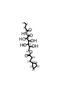 CCCC(=O)NC(=O)C(O)C(O)C(O)C(O)COC(=O)CCC1CCCC1